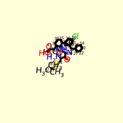 CNC1(N2C(=O)C(C(=O)C(N)CSSC(C)(C)C)N=C(c3ccccc3)c3cc(Cl)ccc32)C(C)=CC=CC1CC(=O)O